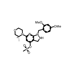 COc1ccc(CN2NCc3c(OS(C)(=O)=O)cc(N4CCOC[C@H]4C)nc32)c(OC)c1